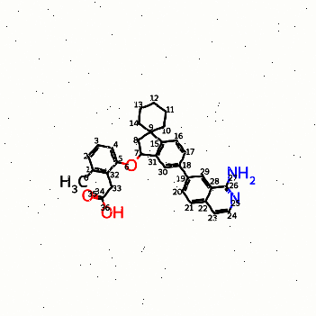 Cc1cccc(OC2CC3(CCCCC3)c3ccc(-c4ccc5ccnc(N)c5c4)cc32)c1CC(=O)O